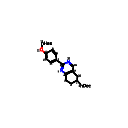 CCCCCCCCCCC1CCc2nc(-c3ccc(OCCCCCC)cc3)ncc2C1